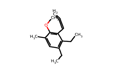 C=C=Cc1c(CC)c(CC)cc(C)c1OC